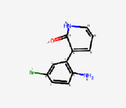 Nc1ccc(Br)cc1-c1ccc[nH]c1=O